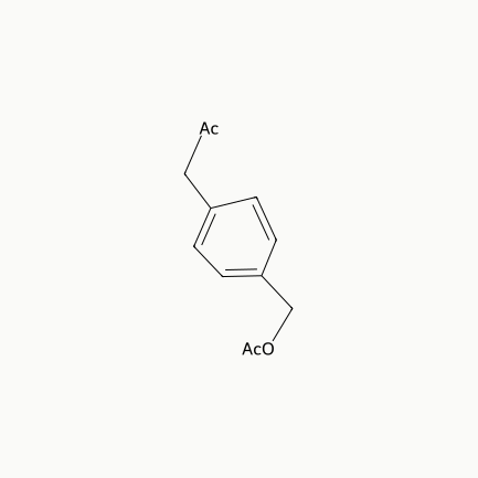 CC(=O)Cc1ccc(COC(C)=O)cc1